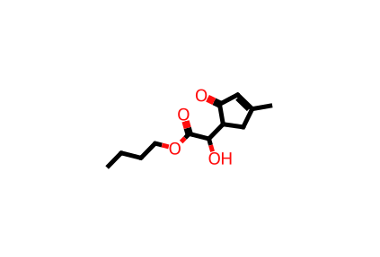 CCCCOC(=O)C(O)C1CC(C)=CC1=O